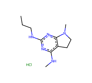 CCCNc1nc(NC)c2c(n1)N(C)CC2.Cl